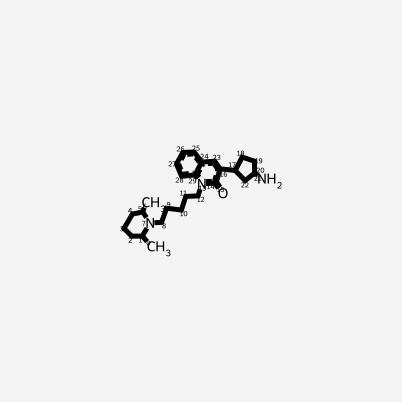 CC1CCCC(C)N1CCCCCn1c(=O)c(C2CCC(N)C2)cc2ccccc21